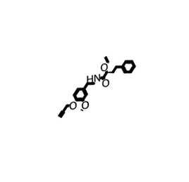 C#CCOc1ccc(CCNC(=O)[C@H](CCc2ccccc2)OCC)cc1OC